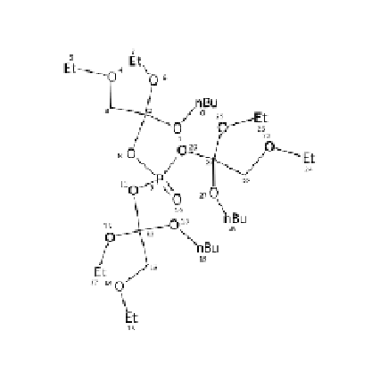 CCCCOC(COCC)(OCC)OP(=O)(OC(COCC)(OCC)OCCCC)OC(COCC)(OCC)OCCCC